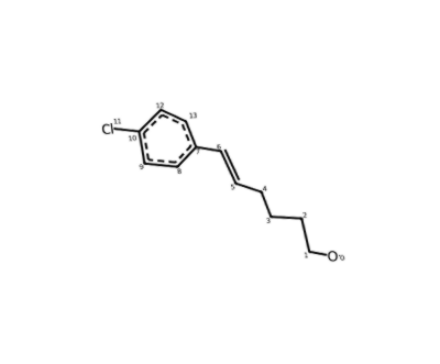 [O]CCCCC=Cc1ccc(Cl)cc1